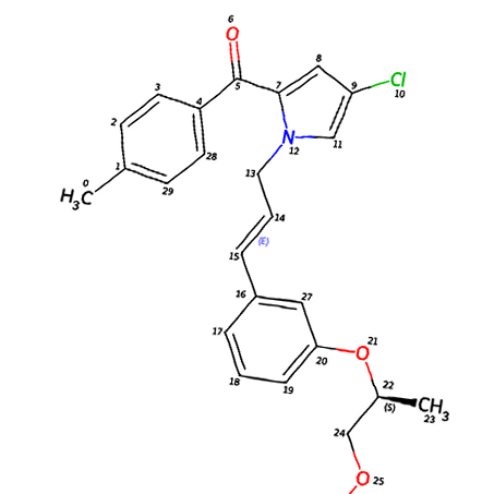 Cc1ccc(C(=O)c2cc(Cl)cn2C/C=C/c2cccc(O[C@@H](C)COO)c2)cc1